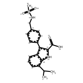 CC(C)c1cccc2c(-c3ccc(CNS(C)(=O)=O)cc3)c(C(=O)O)[nH]c12